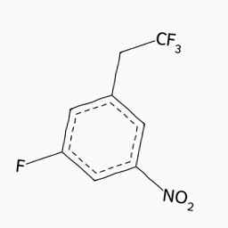 O=[N+]([O-])c1cc(F)cc(CC(F)(F)F)c1